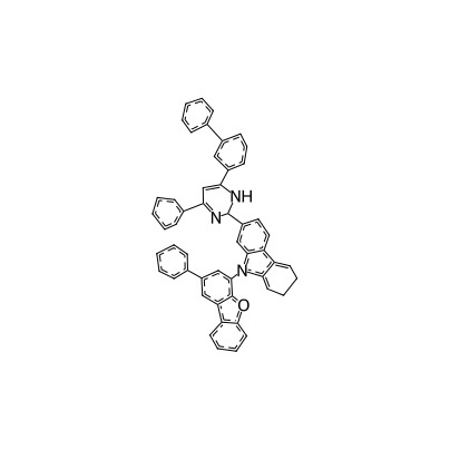 C1=C(c2cccc(-c3ccccc3)c2)NC(c2ccc3c4c(n(-c5cc(-c6ccccc6)cc6c5oc5ccccc56)c3c2)=CCCC=4)N=C1c1ccccc1